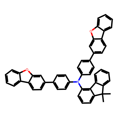 CC1(C)c2ccccc2-c2c(N(c3ccc(-c4ccc5c(c4)oc4ccccc45)cc3)c3ccc(-c4ccc5c(c4)oc4ccccc45)cc3)cccc21